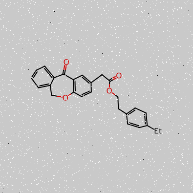 CCc1ccc(CCOC(=O)Cc2ccc3c(c2)C(=O)c2ccccc2CO3)cc1